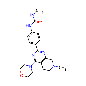 CNC(=O)Nc1ccc(-c2nc3c(c(N4CCOCC4)n2)CCN(C)C3)cc1